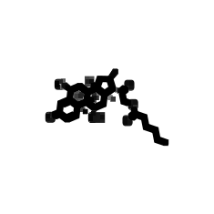 CCCCCC(=O)OCC(=O)[C@H]1[C@H](C)C[C@H]2[C@@H]3C[C@H](Cl)C4=CC(=O)C=C[C@]4(C)[C@@]3(F)[C@@H](O)C[C@@]21C